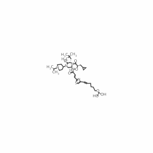 CC(C)N1CCC(N2C[C@@H]3N(C(=O)/C=C/c4nc(C#CCCCCOP(O)O)cs4)O[C@H](CC4CC4)C(=O)N3[C@@H](CC(C)(C)C)C2=O)CC1